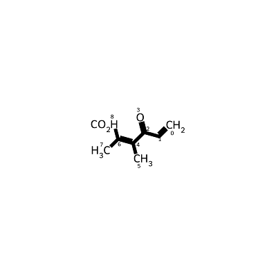 C=CC(=O)C(C)=C(C)C(=O)O